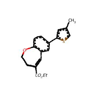 CCOC(=O)C1=Cc2cc(-c3cc(C)cs3)ccc2OCC1